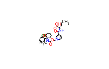 CCC[C@H](NC(=O)c1ccc[n+](COC(=O)N(C)C2(c3ccccc3Cl)CCCCC2=O)c1)C(=O)O